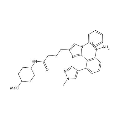 COC1CCC(NC(=O)CCCc2cn(-c3ccccc3)c(-c3c(C(N)=O)cccc3-c3cnn(C)c3)n2)CC1